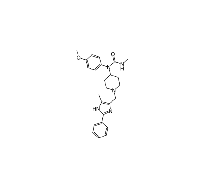 CNC(=O)N(c1ccc(OC)cc1)C1CCN(Cc2nc(-c3ccccc3)[nH]c2C)CC1